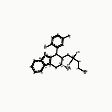 CCc1ccc(Br)cc1C1c2[nH]c3ccccc3c2C[C@@H](C)N1CC(F)(F)CCC(C)(C)C